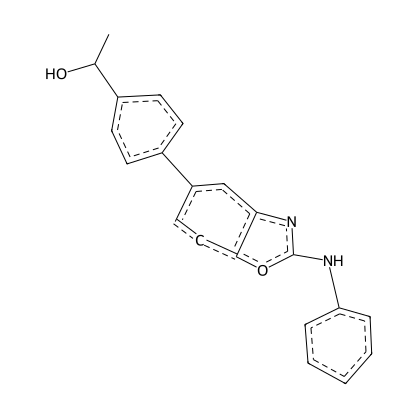 CC(O)c1ccc(-c2ccc3oc(Nc4ccccc4)nc3c2)cc1